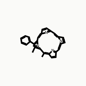 Cc1c2nc(cc3ccc(cc4nc(cc5c(-c6ccccc6)c(C)c1n5C)C=C4)[nH]3)C=C2